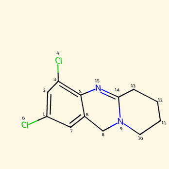 Clc1cc(Cl)c2c(c1)CN1CCCCC1=N2